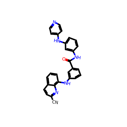 N#Cc1ccc2cccc(Nc3cccc(C(=O)Nc4cccc(Nc5ccncc5)c4)c3)c2n1